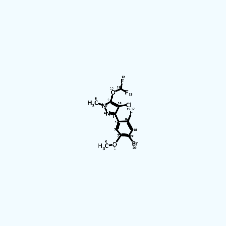 COc1cc(-c2nn(C)c(OC(F)F)c2Cl)c(F)cc1Br